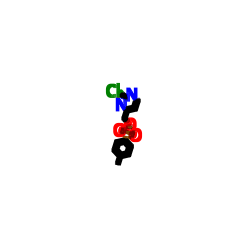 Cc1ccc(S(=O)(=O)OCc2ccnc(Cl)n2)cc1